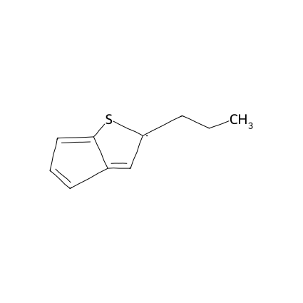 CCC[C]1C=C2C=CC=C2S1